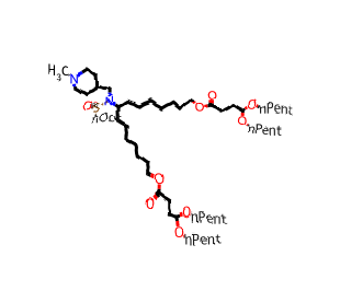 CCCCCCCC[S@+]([O-])N(CC1CCN(C)CC1)C(CCCCCCCOC(=O)CCC(OCCCCC)OCCCCC)CCCCCCCOC(=O)CCC(OCCCCC)OCCCCC